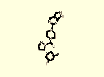 O=C(N1CCN(c2ncc3cn[nH]c3n2)CC1)N1N=CC[C@H]1c1cc(F)cc(F)c1